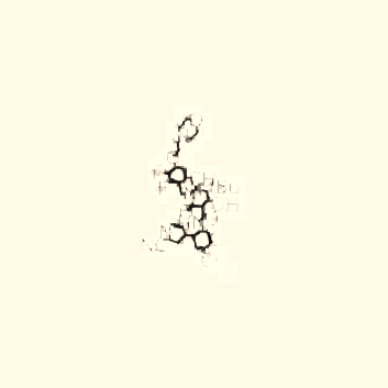 CN1C(C(C)(C)C)C(O)=C(C(=O)Nc2ccc(C(F)(F)F)cc2-c2ccnc(C#N)c2)C(=O)N1Cc1ccc(OCCN2CCOCC2)c(F)c1F